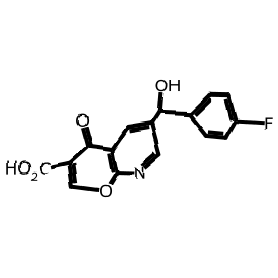 O=C(O)c1coc2ncc(C(O)c3ccc(F)cc3)cc2c1=O